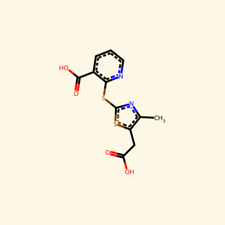 Cc1nc(Sc2ncccc2C(=O)O)sc1CC(=O)O